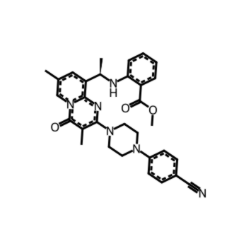 COC(=O)c1ccccc1N[C@H](C)c1cc(C)cn2c(=O)c(C)c(N3CCN(c4ccc(C#N)cc4)CC3)nc12